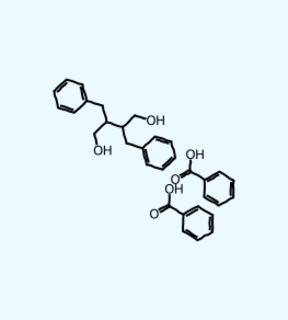 O=C(O)c1ccccc1.O=C(O)c1ccccc1.OCC(Cc1ccccc1)C(CO)Cc1ccccc1